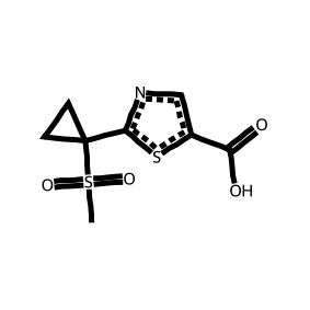 CS(=O)(=O)C1(c2ncc(C(=O)O)s2)CC1